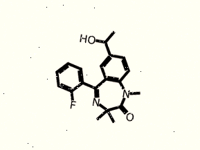 CC(O)c1ccc2c(c1)C(c1ccccc1F)=NC(C)(C)C(=O)N2C